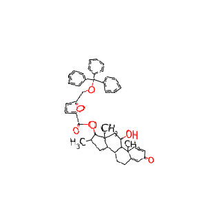 CC1CC2C3CCC4=CC(=O)C=CC4(C)C3C(O)CC2(C)C1OC(=O)c1ccc(COC(c2ccccc2)(c2ccccc2)c2ccccc2)o1